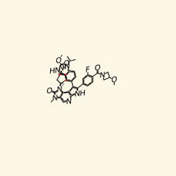 COC(=O)N[C@@H]1CC[C@@H](n2c(=O)n(C)c3cnc4[nH]c(-c5ccc(C(=O)N6CC(OC)C6)c(F)c5)c(-c5ccc6c(cnn6C(C)C)c5)c4c32)C1